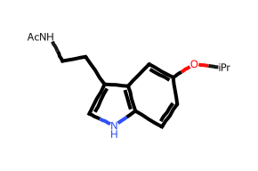 CC(=O)NCCc1c[nH]c2ccc(OC(C)C)cc12